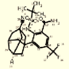 CC(C)(C)S(=O)(=O)Nc1c(C(N)=O)cc(C(F)(F)F)cc1C12CC3C[C@@H](CC(C#N)(C3)C1)C2